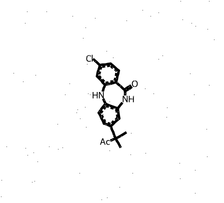 CC(=O)C(C)(C)c1ccc2c(c1)NC(=O)c1ccc(Cl)cc1N2